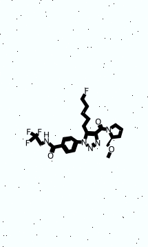 COC[C@@H]1CCCN1C(=O)c1nnn(-c2ccc(C(=O)NCC(F)(F)F)cc2)c1CCCCCF